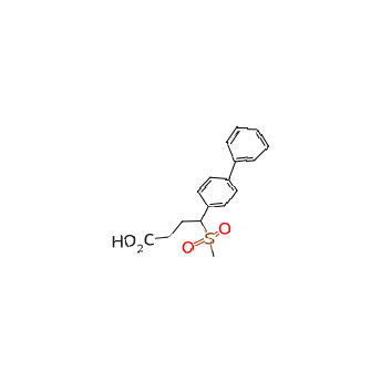 CS(=O)(=O)C(CCC(=O)O)c1ccc(-c2ccccc2)cc1